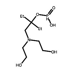 CCC(CC)(CN(CCO)CCO)O[PH](=O)O